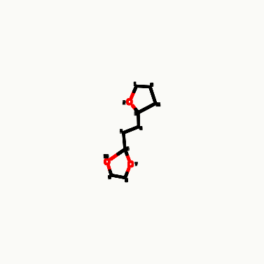 C1COC(CCC2OCCO2)C1